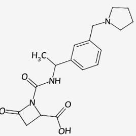 CC(NC(=O)N1C(=O)CC1C(=O)O)c1cccc(CN2CCCC2)c1